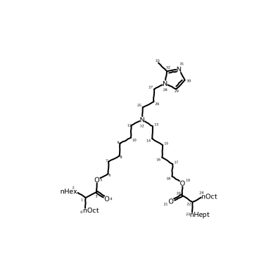 CCCCCCCCC(CCCCCC)C(=O)OCCCCCCN(CCCCCCOC(=O)C(CCCCCCC)CCCCCCCC)CCCn1ccnc1C